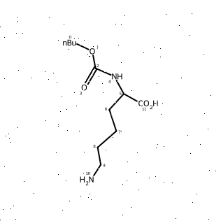 CCCCOC(=O)NC(CCCCN)C(=O)O